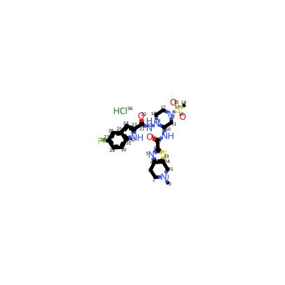 CN1CCc2nc(C(=O)NC3CN(S(C)(=O)=O)CCN3NC(=O)c3cc4cc(F)ccc4[nH]3)sc2C1.Cl